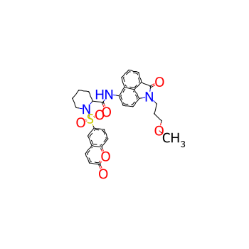 COCCCN1C(=O)c2cccc3c(NC(=O)C4CCCCN4S(=O)(=O)c4ccc5oc(=O)ccc5c4)ccc1c23